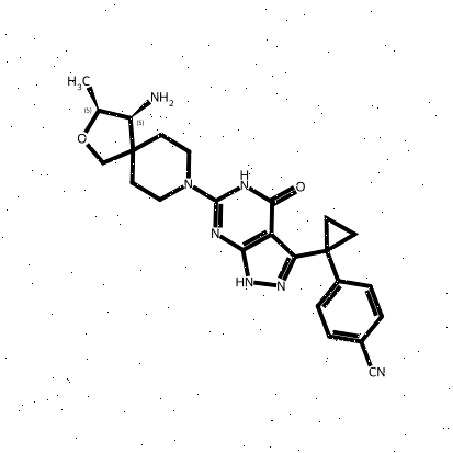 C[C@@H]1OCC2(CCN(c3nc4[nH]nc(C5(c6ccc(C#N)cc6)CC5)c4c(=O)[nH]3)CC2)[C@@H]1N